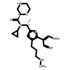 CN/C=C(\C=N)c1sc([C@@H](C)N(C(=O)[C@H]2CNCCO2)C2CC2)cc1CCCNOC